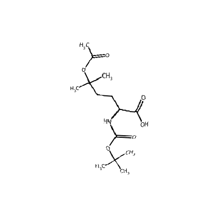 CC(=O)OC(C)(C)CCC(NC(=O)OC(C)(C)C)C(=O)O